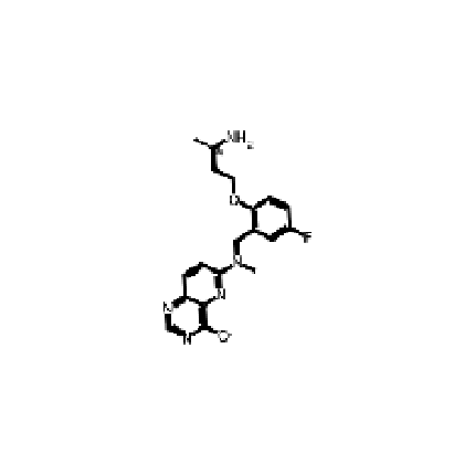 C[C@@H](N)CCOc1ccc(F)cc1CN(C)c1ccc2ncnc([O])c2n1